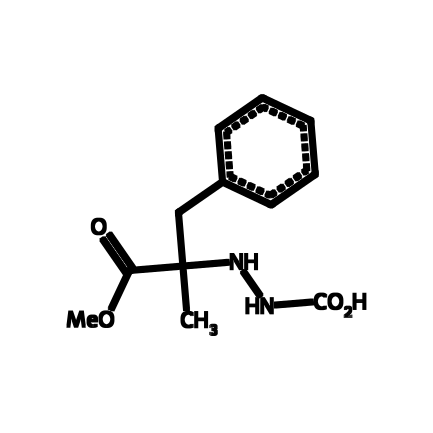 COC(=O)C(C)(Cc1ccccc1)NNC(=O)O